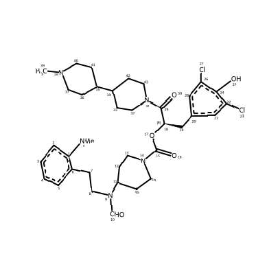 CNc1ccccc1CCN(C=O)C1CCN(C(=O)O[C@H](Cc2cc(Cl)c(O)c(Cl)c2)C(=O)N2CCC(C3CCN(C)CC3)CC2)CC1